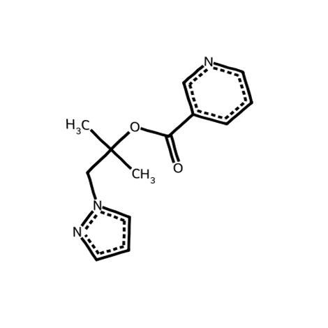 CC(C)(Cn1cccn1)OC(=O)c1cccnc1